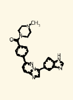 CN1CCN(C(=O)c2ccc(-c3ccc4ncc(-c5ccc6[nH]cnc6c5)n4n3)cc2)CC1